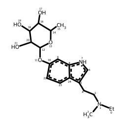 CCN(C)CCc1c[nH]c2cc(OC3OC(C)C(O)C(O)C3O)ccc12